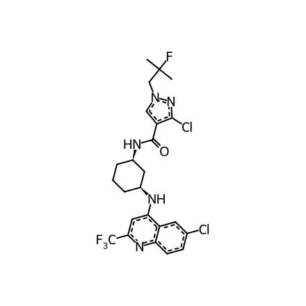 CC(C)(F)Cn1cc(C(=O)N[C@@H]2CCC[C@H](Nc3cc(C(F)(F)F)nc4ccc(Cl)cc34)C2)c(Cl)n1